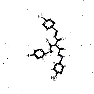 O=C(/C=C/c1ccc(O)cc1)C(C(=O)/C=C/c1ccc(O)cc1)C(=O)Nc1ccc(F)cc1